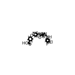 O=C(O)C1CCC(Oc2ccc(NC(=O)C3NN=C(Nc4ccc(F)c(Cl)c4)O3)cn2)CC1